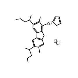 CCCC(C)c1cc2c(cc1C)Cc1c-2cc(C(C)CCC)c(C)[c]1[Zr+2][C]1=CC=CC1.[Cl-].[Cl-]